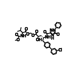 COC(=O)N[C@H](C(=O)OCOC(=O)C(O)C[C@@H](Cc1ccc(-c2cccc(Cl)c2)cc1)NC(=O)c1nn(-c2ccccc2)c(=O)[nH]1)C(C)C